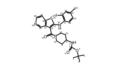 CC(C)(C)OC(=O)NC1CCN(C(=O)c2c(Nc3ccc(I)cc3F)sc3ccncc23)CC1